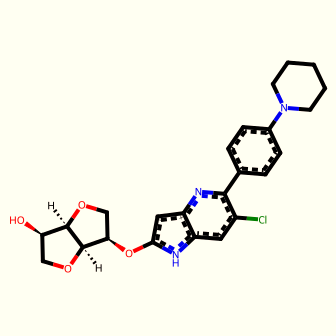 O[C@@H]1CO[C@H]2[C@@H]1OC[C@H]2Oc1cc2nc(-c3ccc(N4CCCCC4)cc3)c(Cl)cc2[nH]1